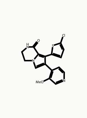 COc1cnccc1-c1cn2c(c1-c1ccc(Cl)s1)C(=O)NCC2